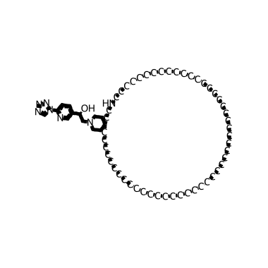 O[C@@H](CN1CCC2(CCCCCCCCCCCCCCCCCCCCCCCCCCCCCCCCCCCCCCCCCCCCCCCCNCC2)CC1)c1ccc(-n2cnnn2)nc1